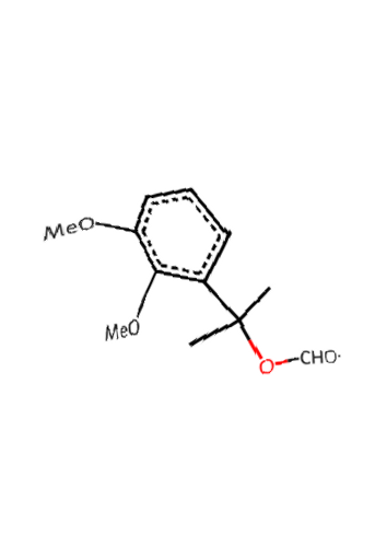 COc1cccc(C(C)(C)O[C]=O)c1OC